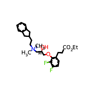 CCOC(=O)CCc1ccc(F)c(F)c1OC[C@H](O)C[N+](C)(C)CCC1Cc2ccccc2C1